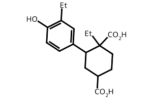 CCc1cc(C2CC(C(=O)O)CCC2(CC)C(=O)O)ccc1O